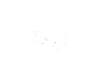 Clc1cnc2ccc(Cc3nc4ccnc(Cl)c4[nH]3)cc2c1